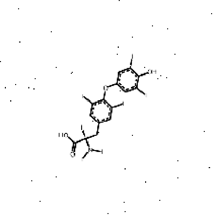 O=C(O)[C@](I)(Cc1cc(I)c(Oc2cc(I)c(O)c(I)c2)c(I)c1)N(I)I